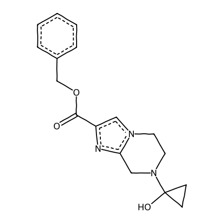 O=C(OCc1ccccc1)c1cn2c(n1)CN(C1(O)CC1)CC2